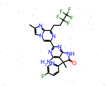 Cc1cn2cc(-c3nc(N)c4c(n3)NC(=O)C4(C)c3ccc(F)cn3)nc(CCC(F)(F)C(F)(F)F)c2n1